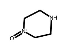 O=[N+]1CCNCC1